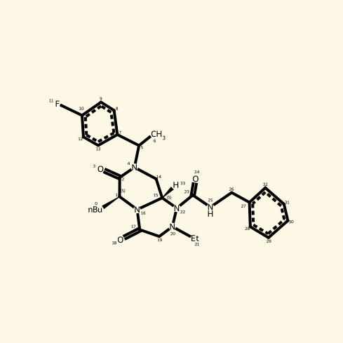 CCCC[C@H]1C(=O)N(C(C)c2ccc(F)cc2)C[C@H]2N1C(=O)CN(CC)N2C(=O)NCc1ccccc1